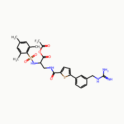 Cc1cc(C)c(S(=O)(=O)NC(CNC(=O)c2ccc(-c3cccc(CNC(=N)N)c3)s2)C(=O)OC(=O)C(F)(F)F)c(C)c1